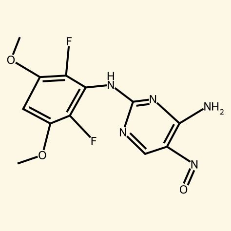 COc1cc(OC)c(F)c(Nc2ncc(N=O)c(N)n2)c1F